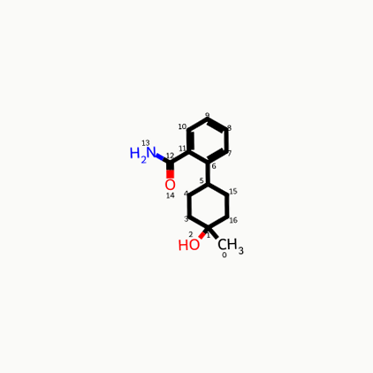 CC1(O)CCC(c2ccccc2C(N)=O)CC1